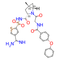 C[C@@]12C[C@@H]1N(C(=O)CNC(=O)c1ccc(Oc3ccccc3)cc1)[C@H](C(=O)NS(=O)(=O)c1cc(C(=N)N)cs1)C2